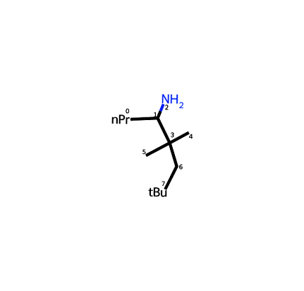 CCCC(N)C(C)(C)CC(C)(C)C